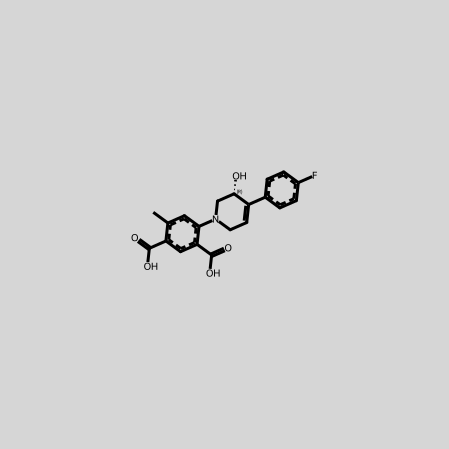 Cc1cc(N2CC=C(c3ccc(F)cc3)[C@@H](O)C2)c(C(=O)O)cc1C(=O)O